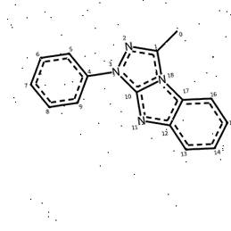 Cc1nn(-c2ccccc2)c2nc3ccccc3n12